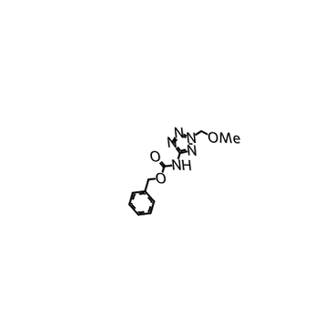 COCn1nnc(NC(=O)OCc2ccccc2)n1